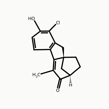 CC1=C2c3ccc(O)c(Cl)c3C[C@]23CC[C@H](C3)C1=O